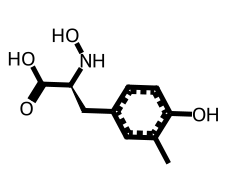 Cc1cc(C[C@H](NO)C(=O)O)ccc1O